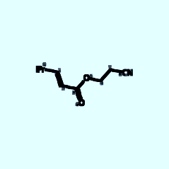 CC(C)C=CC(=O)OCCC#N